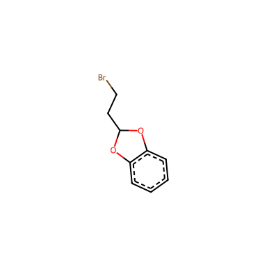 BrCCC1Oc2ccccc2O1